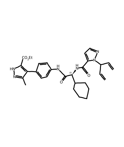 C=CC(C=C)n1nccc1C(=O)N[C@H](C(=O)Nc1ccc(-c2c(C)n[nH]c2C(=O)OCC)cc1)C1CCCCC1